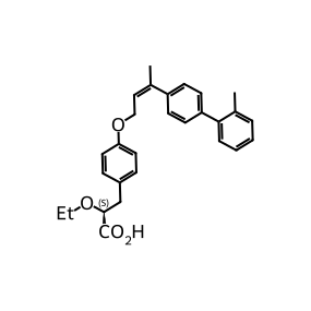 CCO[C@@H](Cc1ccc(OCC=C(C)c2ccc(-c3ccccc3C)cc2)cc1)C(=O)O